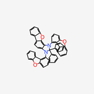 c1ccc(C2(c3ccccc3)N(c3cccc4oc5ccccc5c34)c3ccc4c(oc5ccccc54)c3N2c2cccc3oc4ccccc4c23)cc1